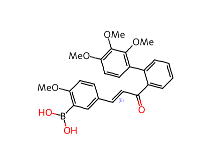 COc1ccc(/C=C/C(=O)c2ccccc2-c2ccc(OC)c(OC)c2OC)cc1B(O)O